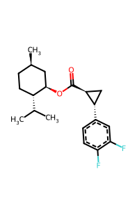 CC(C)[C@@H]1CC[C@@H](C)C[C@H]1OC(=O)[C@H]1C[C@@H]1c1ccc(F)c(F)c1